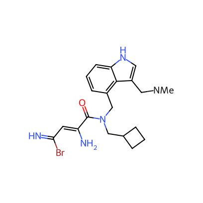 CNCc1c[nH]c2cccc(CN(CC3CCC3)C(=O)/C(N)=C/C(=N)Br)c12